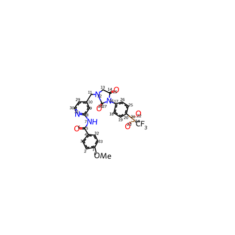 COc1ccc(C(=O)Nc2cc(CN3CC(=O)N(c4ccc(S(=O)(=O)C(F)(F)F)cc4)C3=O)ccn2)cc1